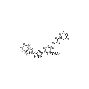 COc1cc(-c2n[nH]c(NCc3c(F)cccc3Cl)n2)ccc1OCCCN1CCOCC1